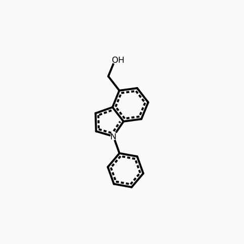 OCc1cccc2c1ccn2-c1ccccc1